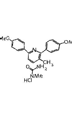 CNC(N)=O.COc1ccc(-c2ccc(C)c(-c3ccc(OC)cc3)n2)cc1.Cl